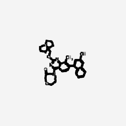 Cc1c(-c2cc(O)cc3ccccc23)ccc2c(N3CCCOCC3=O)nc(OCC34CCCN3CCC4)nc12